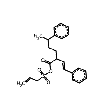 C=CCS(=O)(=O)OC(=O)C(C=Cc1ccccc1)CCC(C)c1ccccc1